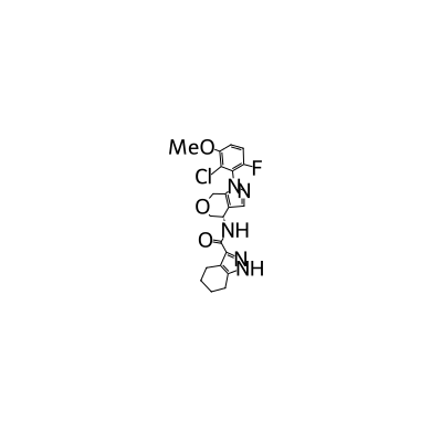 COc1ccc(F)c(-n2ncc3c2COC[C@H]3NC(=O)c2n[nH]c3c2CCCC3)c1Cl